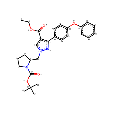 CCOC(=O)c1cn(C[C@@H]2CCCN2C(=O)OC(C)(C)C)nc1-c1ccc(Oc2ccccc2)cc1